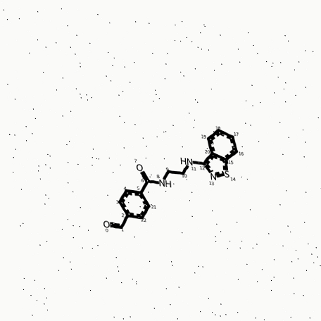 O=Cc1ccc(C(=O)NCCNc2nsc3ccccc23)cc1